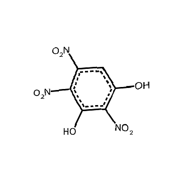 O=[N+]([O-])c1cc(O)c([N+](=O)[O-])c(O)c1[N+](=O)[O-]